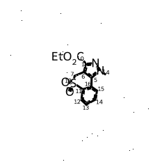 CCOC(=O)c1nn(C)c2c1CS(=O)(=O)c1ccccc1-2